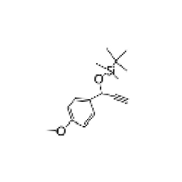 C#CC(O[Si](C)(C)C(C)(C)C)c1ccc(OC)cc1